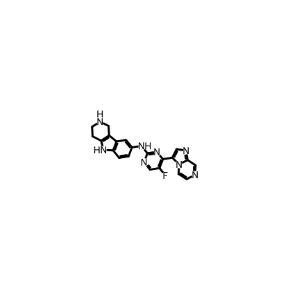 Fc1cnc(Nc2ccc3[nH]c4c(c3c2)CNCC4)nc1-c1cnc2cnccn12